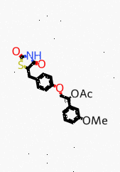 COc1cccc([C@@H](COc2ccc(CC3SC(=O)NC3=O)cc2)OC(C)=O)c1